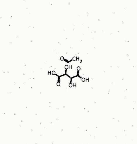 CC=O.O=C(O)C(O)C(O)C(=O)O